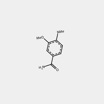 CNc1ccc(C(N)=O)cc1OC